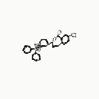 CC(C)(C)[Si](OC1=CC(C2C=Cc3ccc(Cl)cc3C(=O)O2)=CCC1)(c1ccccc1)c1ccccc1